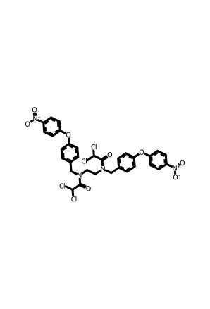 O=C(C(Cl)Cl)N(CCN(Cc1ccc(Oc2ccc([N+](=O)[O-])cc2)cc1)C(=O)C(Cl)Cl)Cc1ccc(Oc2ccc([N+](=O)[O-])cc2)cc1